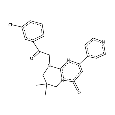 CC1(C)CN(CC(=O)c2cccc(Cl)c2)c2nc(-c3ccncc3)cc(=O)n2C1